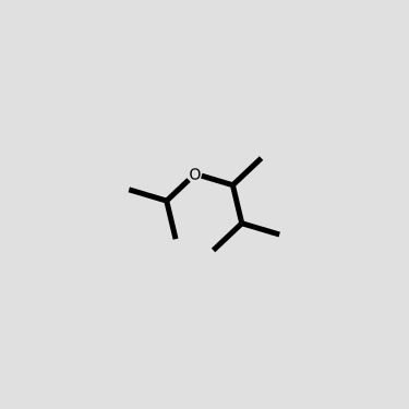 CC(C)OC(C)C(C)C